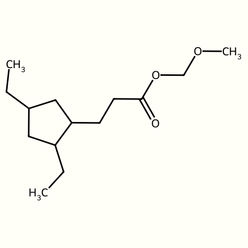 CCC1CC(CC)C(CCC(=O)OCOC)C1